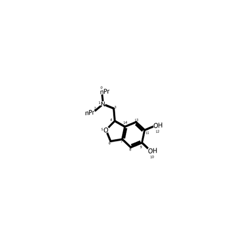 CCCN(CCC)CC1OCc2cc(O)c(O)cc21